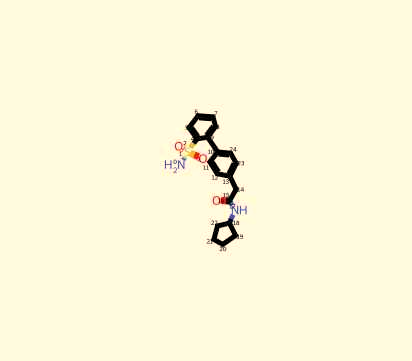 NS(=O)(=O)c1ccccc1-c1ccc(CC(=O)NC2CCCC2)cc1